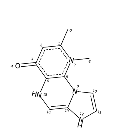 Cc1cc(=O)c2c(n1C)N1C=CNC1=CN2